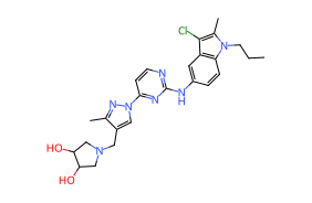 CCCn1c(C)c(Cl)c2cc(Nc3nccc(-n4cc(CN5CC(O)C(O)C5)c(C)n4)n3)ccc21